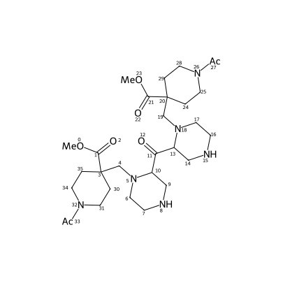 COC(=O)C1(CN2CCNCC2C(=O)C2CNCCN2CC2(C(=O)OC)CCN(C(C)=O)CC2)CCN(C(C)=O)CC1